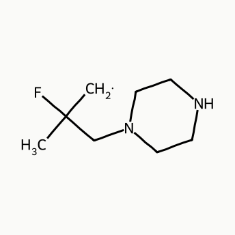 [CH2]C(C)(F)CN1CCNCC1